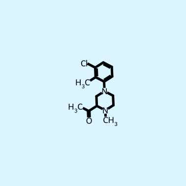 CC(=O)C1CN(c2cccc(Cl)c2C)CCN1C